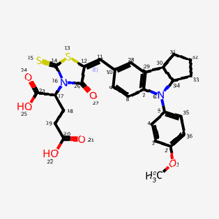 COc1ccc(N2c3ccc(/C=C4/SC(=S)N(C(CCC(=O)O)C(=O)O)C4=O)cc3C3CCCC32)cc1